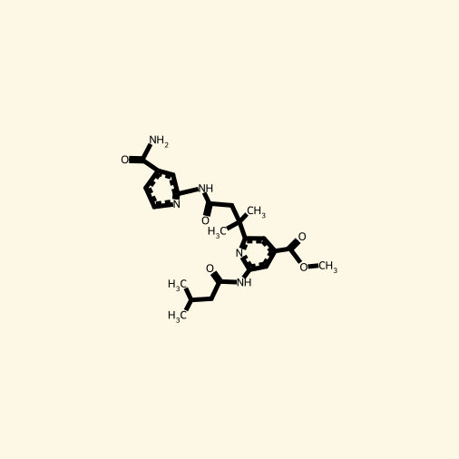 COC(=O)c1cc(NC(=O)CC(C)C)nc(C(C)(C)CC(=O)Nc2cc(C(N)=O)ccn2)c1